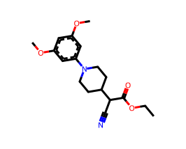 CCOC(=O)C(C#N)C1CCN(c2cc(OC)cc(OC)c2)CC1